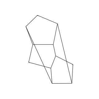 C1C2C3CC4C5CC(C1C35)C24